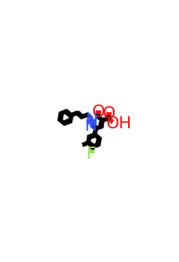 Cc1cc(-c2cc(C(=O)O)c(=O)n(CC=Cc3ccccc3)n2)ccc1F